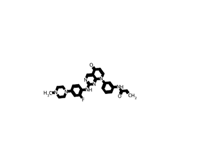 C=CC(=O)Nc1cccc(-n2ccc(=O)c3cnc(Nc4ccc(N5CCN(C)CC5)cc4F)nc32)c1